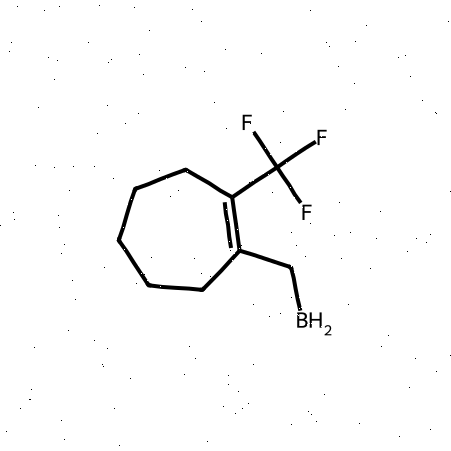 BCC1=C(C(F)(F)F)CCCCC1